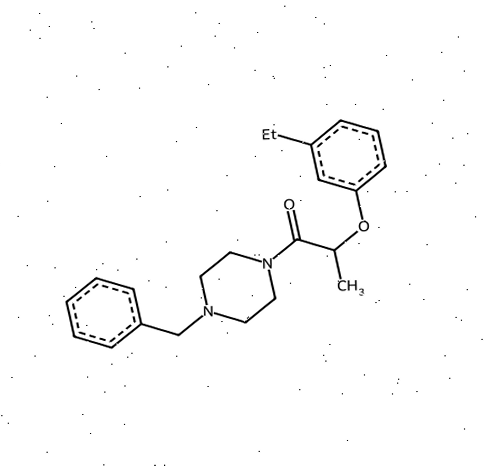 CCc1cccc(OC(C)C(=O)N2CCN(Cc3ccccc3)CC2)c1